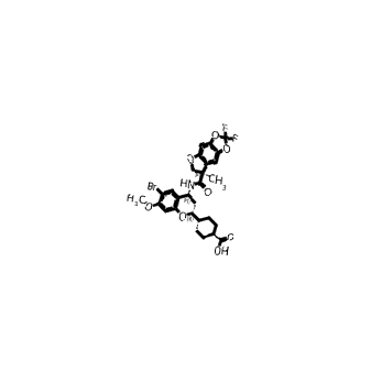 COc1cc2c(cc1Br)[C@H](NC(=O)[C@@]1(C)COc3cc4c(cc31)OC(F)(F)O4)C[C@H]([C@H]1CC[C@H](C(=O)O)CC1)O2